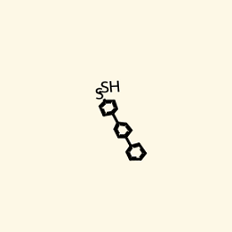 SSc1ccc(-c2ccc(-c3ccccc3)cc2)cc1